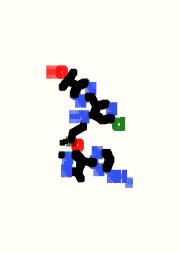 Cc1nn(C)c(O[C@H](C)CCNc2cc(Cl)ncc2-c2ncc(C(C)(C)O)cn2)c1-c1nccc(N)n1